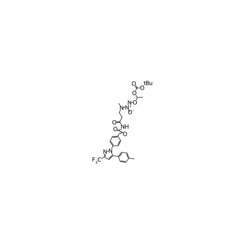 Cc1ccc(-c2cc(C(F)(F)F)nn2-c2ccc(S(=O)(=O)NC(=O)CCN(C)[N+]([O-])=NOC(C)OC(=O)OC(C)(C)C)cc2)cc1